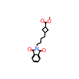 COC(=O)C1CC(CCCCN2C(=O)c3ccccc3C2=O)C1